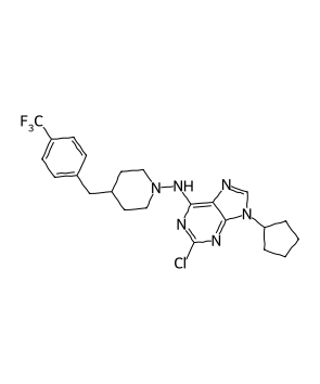 FC(F)(F)c1ccc(CC2CCN(Nc3nc(Cl)nc4c3ncn4C3CCCC3)CC2)cc1